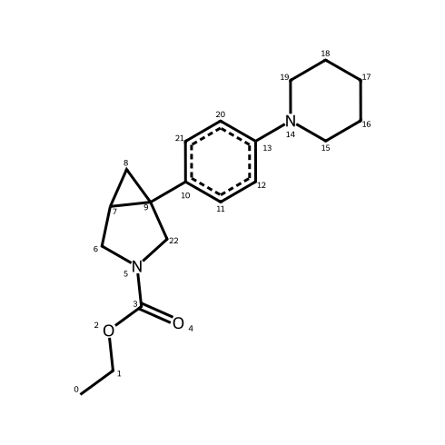 CCOC(=O)N1CC2CC2(c2ccc(N3CCCCC3)cc2)C1